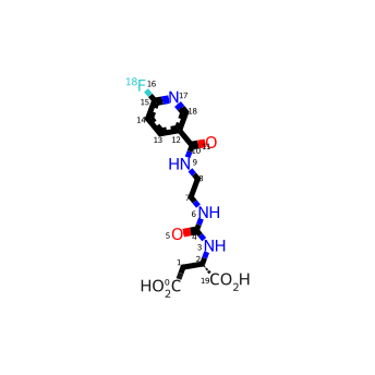 O=C(O)C[C@H](NC(=O)NCCNC(=O)c1ccc([18F])nc1)C(=O)O